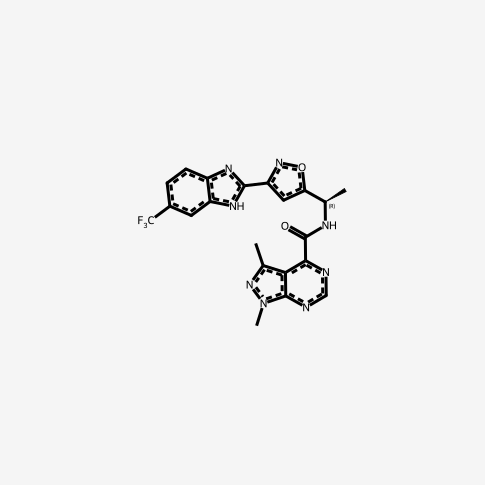 Cc1nn(C)c2ncnc(C(=O)N[C@H](C)c3cc(-c4nc5ccc(C(F)(F)F)cc5[nH]4)no3)c12